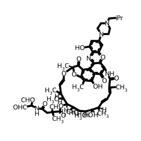 C/C1=C/C=C/[C@H](C)[C@H](O)[C@@H](C)[C@@H](O)[C@@H](C)[C@H](OC(=O)C(C)(C)CC(=O)NC(C=O)C=O)[C@H](C)[C@@H](C)/C=C/O[C@@]2(C)Oc3c(C)c(O)c4c(=O)c(c5oc6cc(N7CCN(CC(C)C)CC7)cc(O)c6nc-5c4c3C2=O)NC1=O